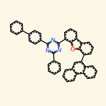 c1ccc(-c2ccc(-c3nc(-c4ccccc4)nc(-c4cccc5c4oc4c(-c6cc7ccccc7c7ccccc67)cccc45)n3)cc2)cc1